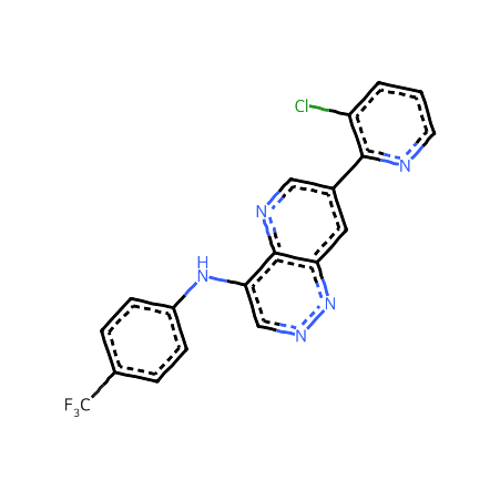 FC(F)(F)c1ccc(Nc2cnnc3cc(-c4ncccc4Cl)cnc23)cc1